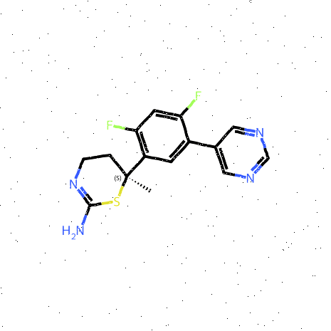 C[C@@]1(c2cc(-c3cncnc3)c(F)cc2F)CCN=C(N)S1